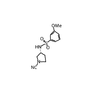 COc1cccc(S(=O)(=O)N[C@@H]2CCN(C#N)C2)c1